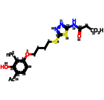 CCCc1c(OCCCCSc2nnc(NC(=O)CC(=O)O)s2)ccc(C(C)=O)c1O